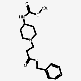 CC(C)(C)OC(=O)NC1CCN(CCC(=O)OCc2ccccc2)CC1